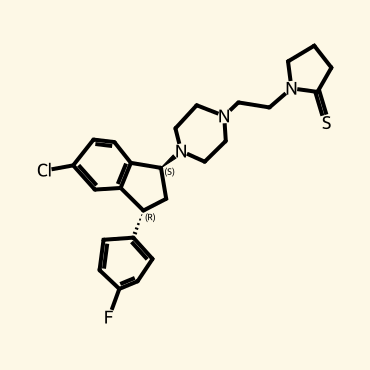 Fc1ccc([C@H]2C[C@H](N3CCN(CCN4CCCC4=S)CC3)c3ccc(Cl)cc32)cc1